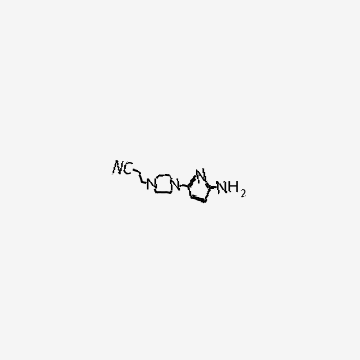 N#CCCN1CCN(c2ccc(N)nc2)CC1